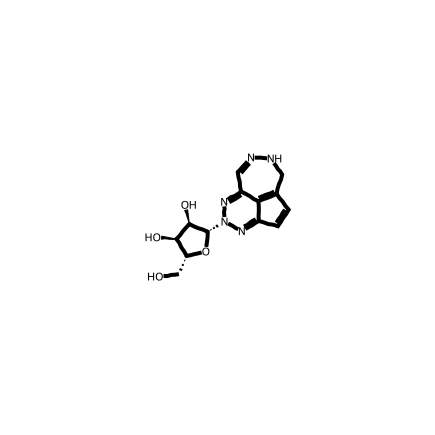 OC[C@H]1O[C@@H](n2nc3ccc4c-3c(n2)C=NNC4)[C@H](O)[C@@H]1O